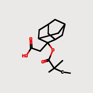 CCC(C)(C)C(=O)OC1(CC(=O)O)C2CC3CC(C2)CC1C3